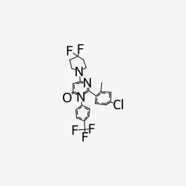 Cc1cc(Cl)ccc1-c1nc(N2CCC(F)(F)CC2)cc(=O)n1-c1ccc(C(F)(F)F)cc1